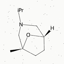 CC(C)N1C[C@@H]2CC[C@](C)(C1)O2